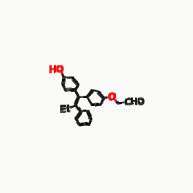 CC/C(=C(\c1ccc(O)cc1)c1ccc(OCC=O)cc1)c1ccccc1